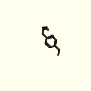 CCc1ccc(CN)nc1